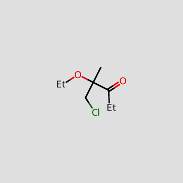 CCOC(C)(CCl)C(=O)CC